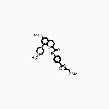 COCc1nc(-c2ccc(NC(=O)C3CCc4cc(OC)cc(N5CCN(C)CC5)c4O3)cc2)no1